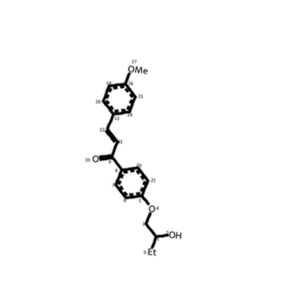 CCC(O)COc1ccc(C(=O)C=Cc2ccc(OC)cc2)cc1